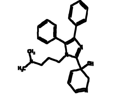 CN(C)CCCn1c(C2(O)C=CC=NC2)nc(-c2ccccc2)c1-c1ccccc1